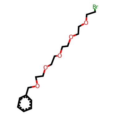 BrCCOCCOCCOCCOCCOCc1ccccc1